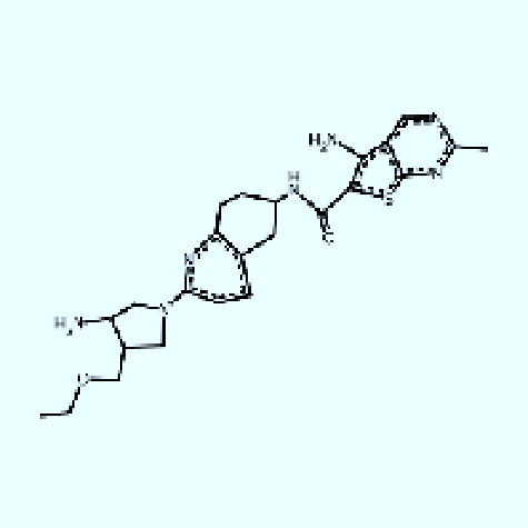 CCOCC1CN(c2ccc3c(n2)CCC(NC(=O)c2sc4nc(C)ncc4c2N)C3)CC1N